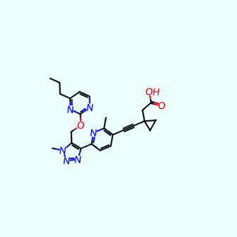 CCCc1ccnc(OCc2c(-c3ccc(C#CC4(CC(=O)O)CC4)c(C)n3)nnn2C)n1